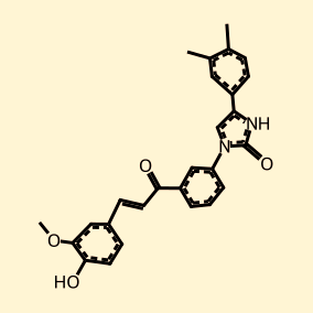 COc1cc(C=CC(=O)c2cccc(-n3cc(-c4ccc(C)c(C)c4)[nH]c3=O)c2)ccc1O